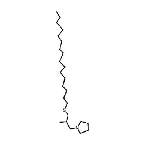 CCCCCCCCCCCCCCCCSCC(C)CN1CCCC1